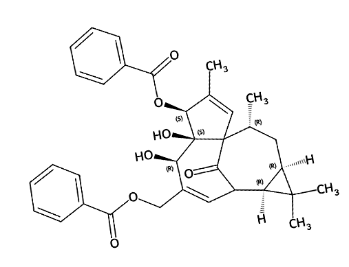 CC1=CC23C(=O)C(C=C(COC(=O)c4ccccc4)[C@@H](O)[C@]2(O)[C@H]1OC(=O)c1ccccc1)[C@H]1[C@@H](C[C@H]3C)C1(C)C